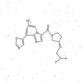 O=C(c1cnc2c(-c3cnco3)cc(C(F)(F)F)cn12)N1CC[C@@H](OCC(F)F)C1